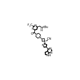 CC(C)(C)NCc1cc(C(=O)N2CCN([C@H]3C[C@](CC#N)(n4cc(-c5ncnc6[nH]ccc56)cn4)C3)CC2)nc(C(F)(F)F)n1